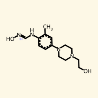 Cc1cc(N2CCN(CCO)CC2)ccc1N/C=N/O